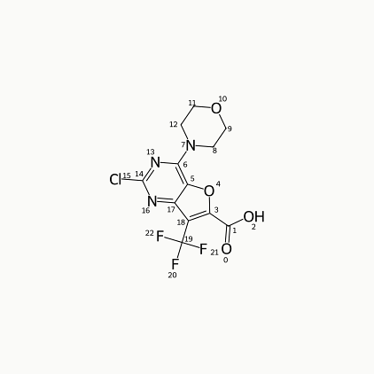 O=C(O)c1oc2c(N3CCOCC3)nc(Cl)nc2c1C(F)(F)F